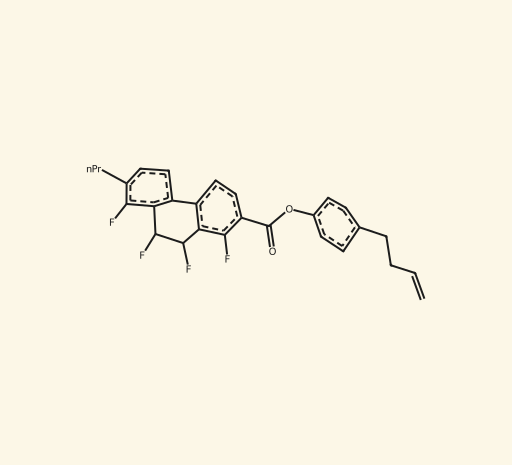 C=CCCc1ccc(OC(=O)c2ccc3c(c2F)C(F)C(F)c2c-3ccc(CCC)c2F)cc1